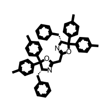 Cc1ccc(C2(c3ccc(C)cc3)OC(CC3=N[C@H](Cc4ccccc4)C(c4ccc(C)cc4)(c4ccc(C)cc4)O3)=N[C@@H]2Cc2ccccc2)cc1